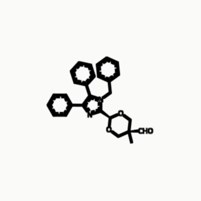 C[C@]1(C=O)CO[C@@H](c2nc(-c3ccccc3)c(-c3ccccc3)n2Cc2ccccc2)OC1